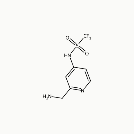 NCc1cc(NS(=O)(=O)C(F)(F)F)ccn1